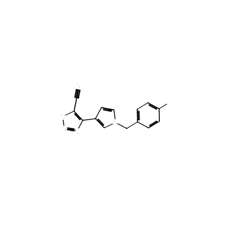 N#Cc1[nH]nnc1-c1ccn(Cc2ccc(Cl)cc2)c1